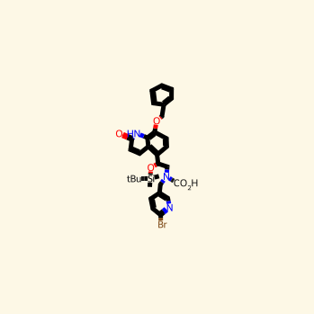 CC(C)(C)[Si](C)(C)OC(CN(Cc1ccc(Br)nc1)C(=O)O)c1ccc(OCc2ccccc2)c2[nH]c(=O)ccc12